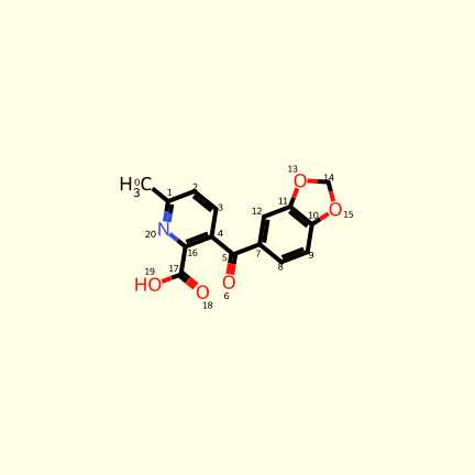 Cc1ccc(C(=O)c2ccc3c(c2)OCO3)c(C(=O)O)n1